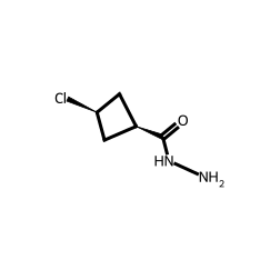 NNC(=O)[C@H]1C[C@@H](Cl)C1